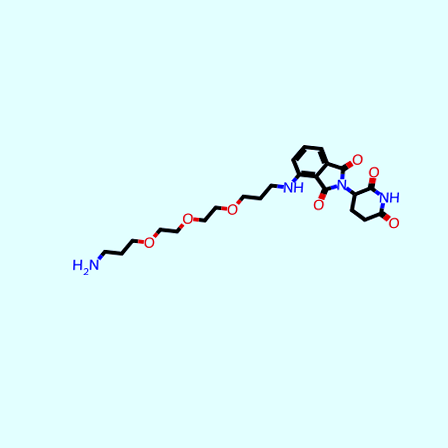 NCCCOCCOCCOCCCNc1cccc2c1C(=O)N(C1CCC(=O)NC1=O)C2=O